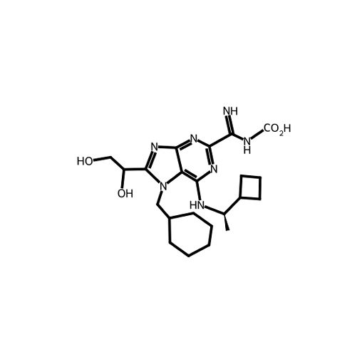 C[C@@H](Nc1nc(C(=N)NC(=O)O)nc2nc(C(O)CO)n(CC3CCCCC3)c12)C1CCC1